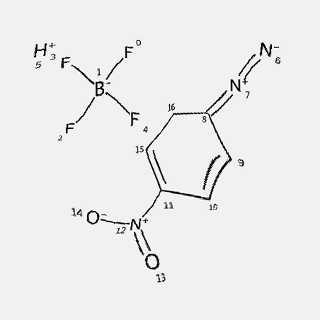 F[B-](F)(F)F.[H+].[N-]=[N+]=C1C=CC([N+](=O)[O-])=CC1